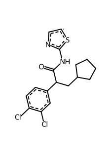 O=C(Nc1nc[c]s1)C(CC1CCCC1)c1ccc(Cl)c(Cl)c1